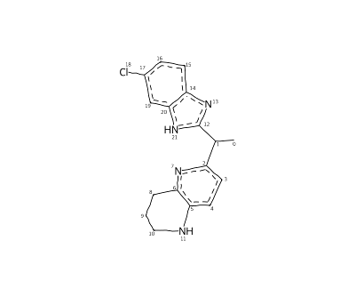 CC(c1ccc2c(n1)CCCN2)c1nc2ccc(Cl)cc2[nH]1